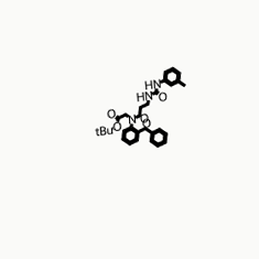 Cc1cccc(NC(=O)NCCC(=O)N(CC(=O)OC(C)(C)C)c2ccccc2C(=O)c2ccccc2)c1